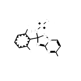 CC1=NC2=NC(NS(N)(=O)=O)(c3c(F)cccc3F)NN2C=C1